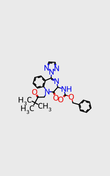 CC(C)(C)C(=O)CN1C(=O)C(NC(=O)OCc2ccccc2)N=C(n2nccn2)c2ccccc21